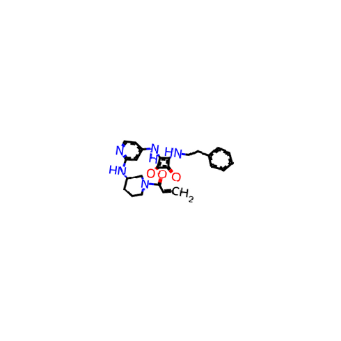 C=CC(=O)N1CCC[C@@H](Nc2cc(Nc3c(NCCc4ccccc4)c(=O)c3=O)ccn2)C1